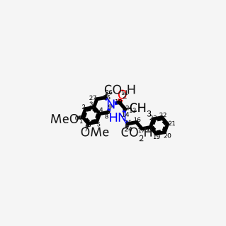 COc1cc2c(cc1OC)CN(C(=O)[C@H](C)NC(CCc1ccccc1)C(=O)O)[C@H](C(=O)O)C2